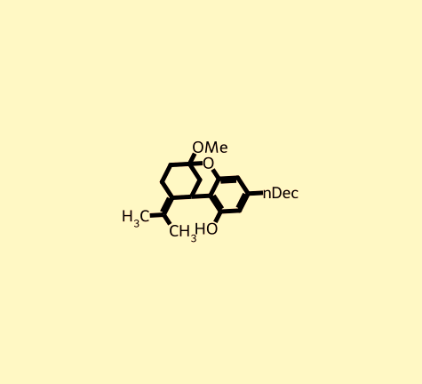 CCCCCCCCCCc1cc(O)c2c(c1)OC1(OC)CCC(=C(C)C)C2C1